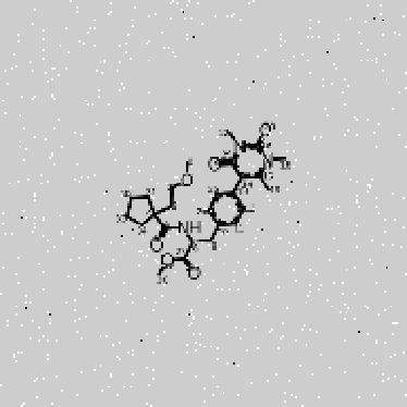 COCCC1(C(=O)N[C@@H](Cc2ccc(-c3c(C)n(C)c(=O)n(C)c3=O)cc2)C(=O)OC)CCCC1